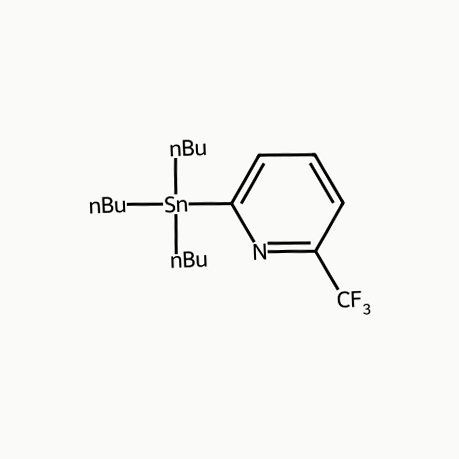 CCC[CH2][Sn]([CH2]CCC)([CH2]CCC)[c]1cccc(C(F)(F)F)n1